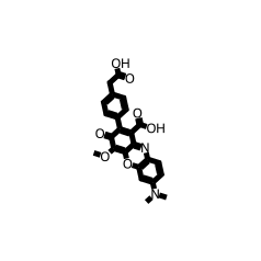 COc1c2oc3cc(N(C)C)ccc3nc-2c(C(=O)O)c(-c2ccc(CC(=O)O)cc2)c1=O